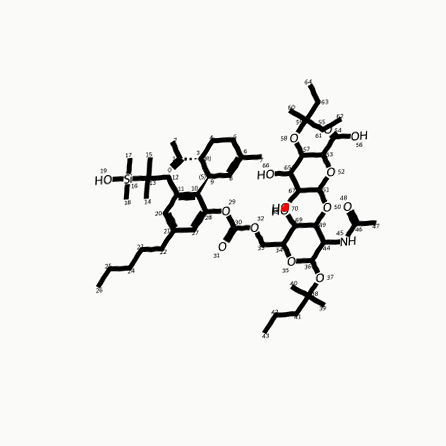 C=C(C)[C@@H]1CCC(C)=C[C@H]1c1c(CC(C)(C)[Si](C)(C)O)cc(CCCCC)cc1OC(=O)OCC1OC(OC(C)(C)CCC)C(NC(C)=O)C(OC2OC(C(=O)O)C(OC(C)(CC)CC)C(O)C2O)C1O